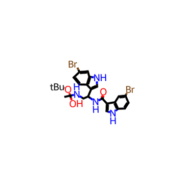 CC(C)(C)OC(C)(O)NCC(NC(=O)c1c[nH]c2ccc(Br)cc12)c1c[nH]c2cc(Br)ccc12